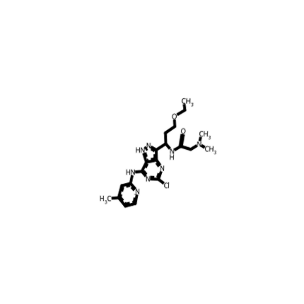 CCOCCC(NC(=O)CN(C)C)c1n[nH]c2c(Nc3cc(C)ccn3)nc(Cl)nc12